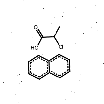 CC(Cl)C(=O)O.c1ccc2ccccc2c1